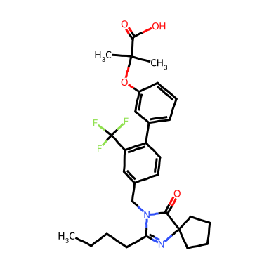 CCCCC1=NC2(CCCC2)C(=O)N1Cc1ccc(-c2cccc(OC(C)(C)C(=O)O)c2)c(C(F)(F)F)c1